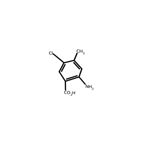 Cc1cc(N)c(C(=O)O)cc1Cl